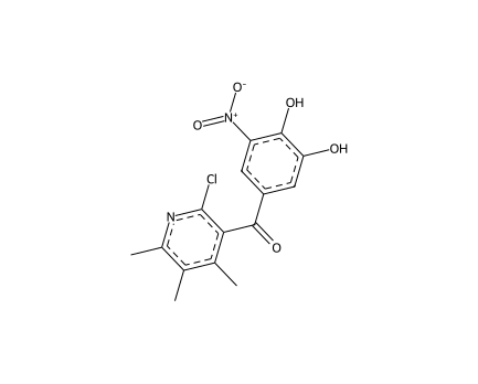 Cc1nc(Cl)c(C(=O)c2cc(O)c(O)c([N+](=O)[O-])c2)c(C)c1C